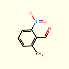 Cc1cccc([N+](=O)[O-])c1C=O